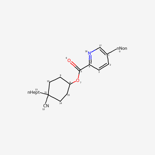 CCCCCCCCCc1ccc(C(=O)OC2CCC(C#N)(CCCCCCC)CC2)nc1